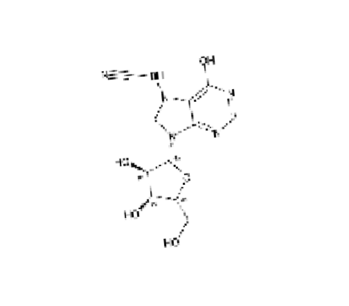 N#CBN1CN([C@@H]2O[C@H](CO)[C@@H](O)[C@H]2O)c2ncnc(O)c21